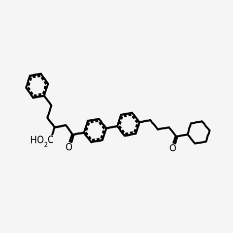 O=C(CC(CCc1ccccc1)C(=O)O)c1ccc(-c2ccc(CCCC(=O)C3CCCCC3)cc2)cc1